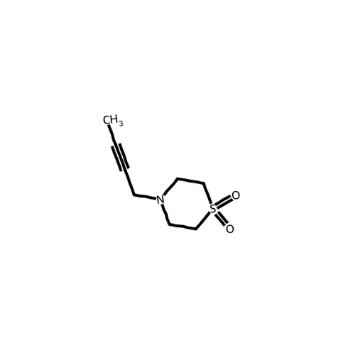 CC#CCN1CCS(=O)(=O)CC1